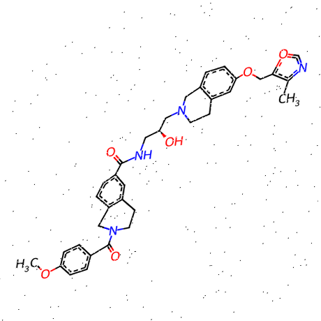 COc1ccc(C(=O)N2CCc3cc(C(=O)NC[C@H](O)CN4CCc5cc(OCc6ocnc6C)ccc5C4)ccc3C2)cc1